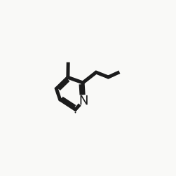 CCCc1n[c]ccc1C